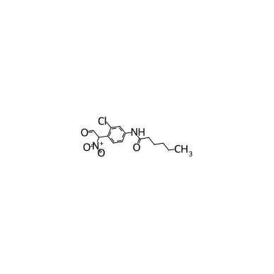 CCCCCC(=O)Nc1ccc(C(C=O)[N+](=O)[O-])c(Cl)c1